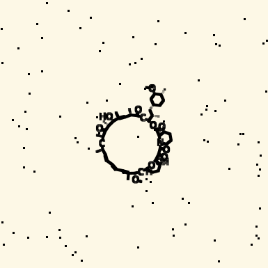 CO[C@H]1C[C@@H]2CC[C@@H](C)[C@@](O)(O2)C(=O)C(=O)N2CCCC[C@H]2C(=O)O[C@H]([C@@H](C)C[C@H]2CC[C@@H](C)[C@H](OC)C2)CC(=O)[C@H](C)/C=C(\C)[C@@H](O)[C@@H](C)C(=O)[C@H](C)C[C@H](C)/C=C/C=C/C=C/1C